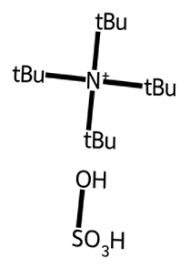 CC(C)(C)[N+](C(C)(C)C)(C(C)(C)C)C(C)(C)C.O=S(=O)(O)O